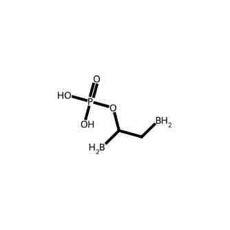 BCC(B)OP(=O)(O)O